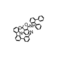 CC(=O)c1c(C(=O)Nc2cccc(-c3ccccc3)c2-c2ccccc2)cccc1-n1c2ccccc2c2cccc(-c3cccc(C#N)c3)c21